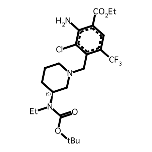 CCOC(=O)c1cc(C(F)(F)F)c(CN2CCC[C@H](N(CC)C(=O)OC(C)(C)C)C2)c(Cl)c1N